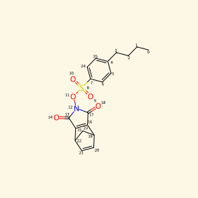 CCCCc1ccc(S(=O)(=O)ON2C(=O)C3=C(C2=O)C2C=CC3C2)cc1